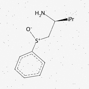 CC(C)[C@H](N)C[S+]([O-])c1ccccc1